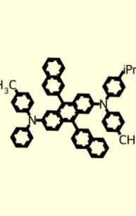 Cc1ccc(N(c2ccccc2)c2ccc3c(-c4ccc5ccccc5c4)c4cc(N(c5ccc(C)cc5)c5ccc(C(C)C)cc5)ccc4c(-c4ccc5ccccc5c4)c3c2)cc1